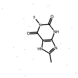 Cc1nc2[nH]c(=O)n(F)c(=O)c2[nH]1